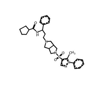 Cc1c(S(=O)(=O)N2CC3CN(CCC(NC(=O)C4CCCC4)c4ccccc4)CC3C2)cnn1-c1ccccc1